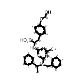 CC(c1ccccc1)N(Cc1ccccc1)c1nc(Cl)nc(NC(Cc2ccc(OCO)cc2)C(=O)O)n1